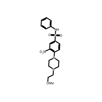 COCCN1CCN(c2ccc(S(=O)(=O)Nc3ccccc3)cc2[N+](=O)[O-])CC1